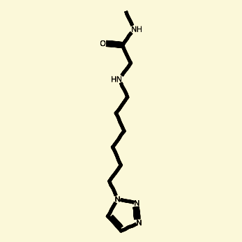 CNC(=O)CNCCCCCCn1ccnn1